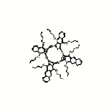 CCCCOc1c2c(c(OCCCC)c3ccccc13)-c1nc-2nc2[nH]c(nc3nc(nc4[nH]c(n1)c1c(OCCCC)c5cc6ccccc6cc5c(OCCCC)c41)-c1c-3c(OCCCC)c3cc4ccccc4cc3c1OCCCC)c1c(OCCCC)c3ccccc3c(OCCCC)c21